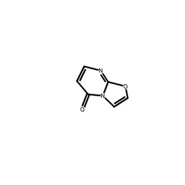 O=c1ccnc2occn12